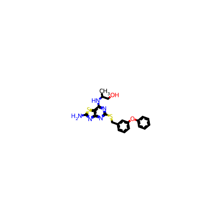 CC(CO)Nc1nc(SCc2cccc(Oc3ccccc3)c2)nc2nc(N)sc12